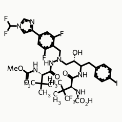 COC(=O)N[C@H](C(=O)NN(Cc1c(F)cc(-c2cn(C(F)F)cn2)cc1F)C[C@H](O)C(Cc1ccc(I)cc1)NC(=O)[C@@H](NC(=O)O)C(C)(C)C(F)(F)F)C(C)(C)C(F)(F)F